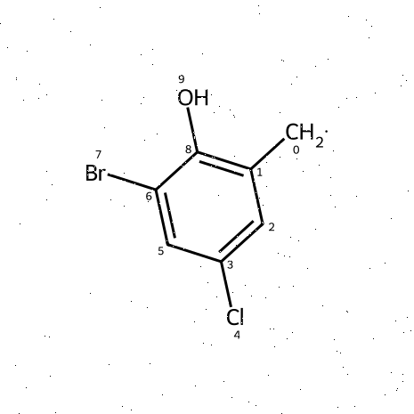 [CH2]c1cc(Cl)cc(Br)c1O